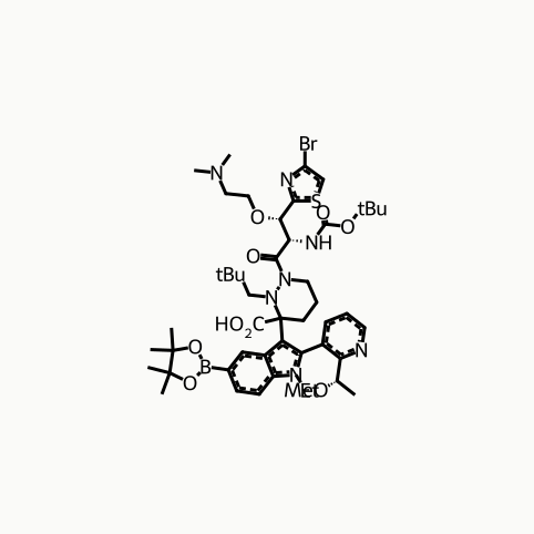 CCn1c(-c2cccnc2[C@H](C)OC)c(C2(C(=O)O)CCCN(C(=O)[C@@H](NC(=O)OC(C)(C)C)[C@H](OCCN(C)C)c3nc(Br)cs3)N2CC(C)(C)C)c2cc(B3OC(C)(C)C(C)(C)O3)ccc21